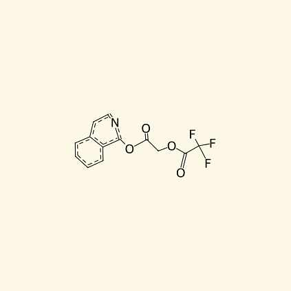 O=C(COC(=O)C(F)(F)F)Oc1nccc2ccccc12